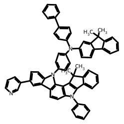 CC1(C)c2ccccc2-c2ccc(N(c3ccc(-c4ccccc4)cc3)c3ccc(-n4c5ccc(-c6cccnc6)cc5c5ccc6c(c7c(n6-c6ccccc6)-c6ccccc6C7(C)C)c54)cc3)cc21